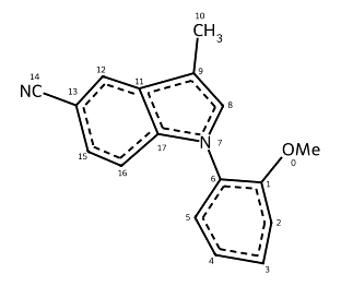 COc1ccccc1-n1cc(C)c2cc(C#N)ccc21